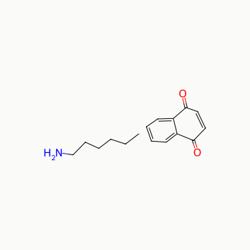 CCCCCCN.O=C1C=CC(=O)c2ccccc21